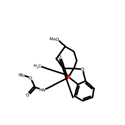 COC1CCC2(CC1)Oc1ccccc1C21N=C(NC(=O)OC(C)(C)C)N(C)C1=O